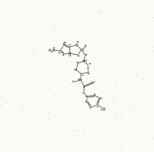 CN(C(=O)Cc1ccc(Cl)cc1)C1CCN(CC2(C)Cn3cc([N+](=O)[O-])nc3O2)CC1